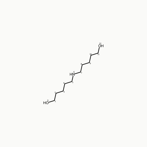 OCCCCCNCCCCCO